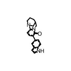 O=c1c(-c2ccc3[nH]ccc3c2)ccc2n1CC1CCCN2C1